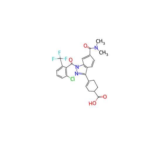 CN(C)C(=O)c1ccc2c(C3=CCC(C(=O)O)CC3)nn(C(=O)c3c(Cl)cccc3C(F)(F)F)c2c1